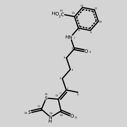 C/C(CCCC(=O)Nc1ccccc1C(=O)O)=C1/SC(=S)NC1=O